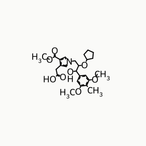 COC(=O)c1cn(CC(OC2CCCC2)C(O)c2cc(OC)c(C)c(OC)c2)cc1CC(=O)O